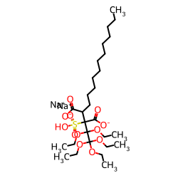 CCCCCCCCCCCCC(C(=O)[O-])C(C(=O)[O-])(C(OCC)(OCC)C(OCC)(OCC)OCC)S(=O)(=O)O.[Na+].[Na+]